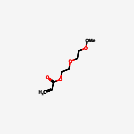 C=CC(=O)OCCOCCOOC